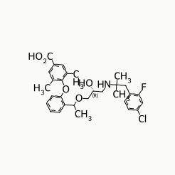 Cc1cc(C(=O)O)cc(C)c1Oc1ccccc1C(C)OC[C@H](O)CNC(C)(C)Cc1ccc(Cl)cc1F